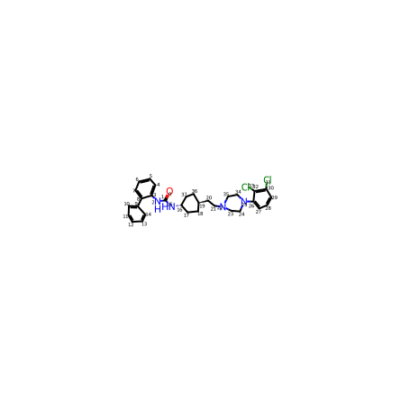 O=C(Nc1ccccc1-c1ccccc1)N[C@H]1CC[C@H](CCN2CCN(c3cccc(Cl)c3Cl)CC2)CC1